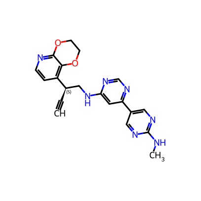 C#C[C@H](CNc1cc(-c2cnc(NC)nc2)ncn1)c1ccnc2c1OCCO2